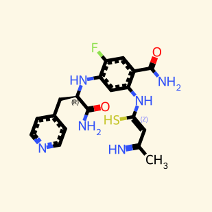 CC(=N)/C=C(\S)Nc1cc(N[C@H](Cc2ccncc2)C(N)=O)c(F)cc1C(N)=O